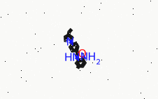 CCC1CCN(c2ccc(C(=O)Nc3cc(C)ccc3N)cc2)C1